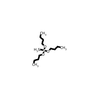 CCCCOS([SiH3])(OCCCC)OCCCC